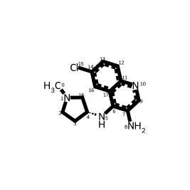 CN1CC[C@@H](Nc2c(N)cnc3ccc(Cl)cc23)C1